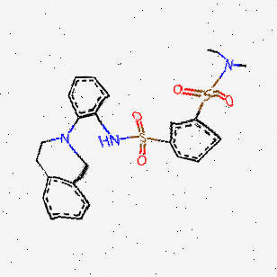 CN(C)S(=O)(=O)c1cccc(S(=O)(=O)Nc2ccccc2N2CCc3ccccc3C2)c1